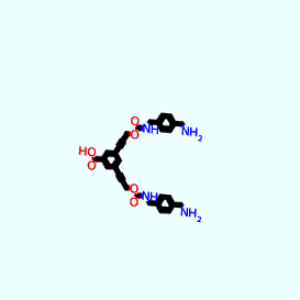 NCc1ccc(CNC(=O)OCC#Cc2cc(C#CCOC(=O)NCc3ccc(CN)cc3)cc(C(=O)O)c2)cc1